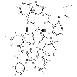 CCC(=O)Oc1ccc(C[N+]2(CC(=O)N[C@@H](CCc3ccccc3)C(=O)N[C@@H](CC(C)C)C(=O)N[C@@H](Cc3ccccc3)C(=O)N[C@@H](CC(C)C)C(=O)[C@@]3(C)CO3)CCOCC2)cc1OCc1c[nH]nn1